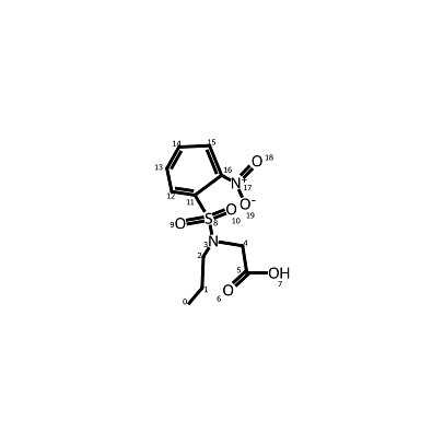 CCCN(CC(=O)O)S(=O)(=O)c1ccccc1[N+](=O)[O-]